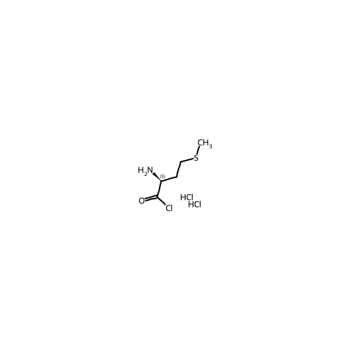 CSCC[C@H](N)C(=O)Cl.Cl.Cl